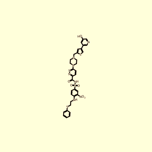 O=C(NS(=O)(=O)c1ccc(NCCSc2ccccc2)c([N+](=O)[O-])c1)c1ccc(N2CCN(Cc3cc(-c4cncc(O)c4)cs3)CC2)nn1